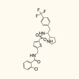 O=C(NCc1ccc(S(=O)(=O)NC(Cc2ccc(C(F)(F)F)cc2)C2CCCN2)s1)c1ccccc1Cl